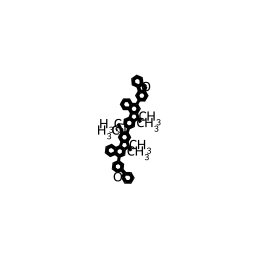 CC1(C)c2cc3c(cc2-c2c1cc(-c1ccc4oc5ccccc5c4c1)c1ccccc21)[Si](C)(C)c1cc2c(cc1-3)C(C)(C)c1cc(-c3ccc4oc5ccccc5c4c3)c3ccccc3c1-2